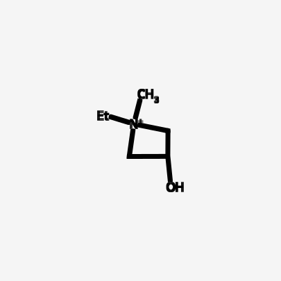 CC[N+]1(C)CC(O)C1